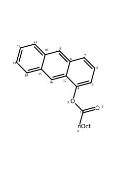 CCCCCCCCC(=O)Oc1cccc2cc3ccccc3cc12